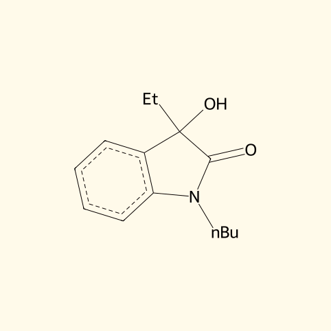 CCCCN1C(=O)C(O)(CC)c2ccccc21